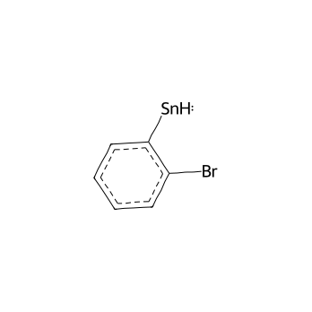 Brc1cccc[c]1[SnH]